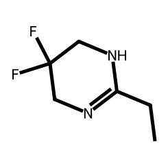 CCC1=NCC(F)(F)CN1